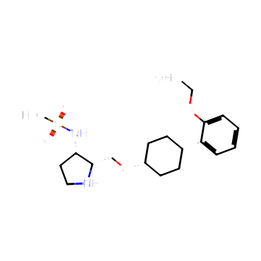 CS(=O)(=O)N[C@H]1CCN[C@H]1CO[C@H]1CC[C@@H](c2ccccc2OCC=O)CC1